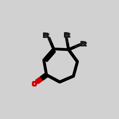 CCC1=CC(=O)CCCC1(CC)CC